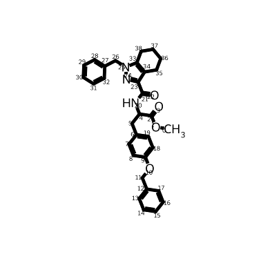 COC(=O)C(Cc1ccc(OCc2ccccc2)cc1)NC(=O)c1nn(Cc2ccccc2)c2c1CCCC2